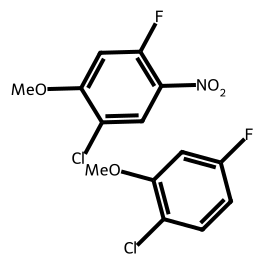 COc1cc(F)c([N+](=O)[O-])cc1Cl.COc1cc(F)ccc1Cl